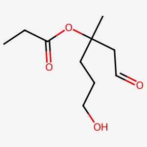 CCC(=O)OC(C)(CC=O)CCCO